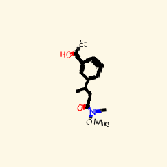 CCC(O)c1cccc(C(C)CC(=O)N(C)OC)c1